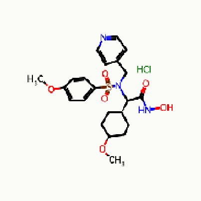 COc1ccc(S(=O)(=O)N(Cc2ccncc2)C(C(=O)NO)[C@H]2CC[C@@H](OC)CC2)cc1.Cl